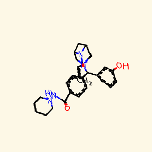 C=CCN1C2CC1CN(C(c1ccc(C(=O)NN3CCCCC3)cc1)c1cccc(O)c1)C2